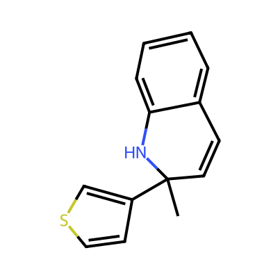 CC1(c2ccsc2)C=Cc2ccccc2N1